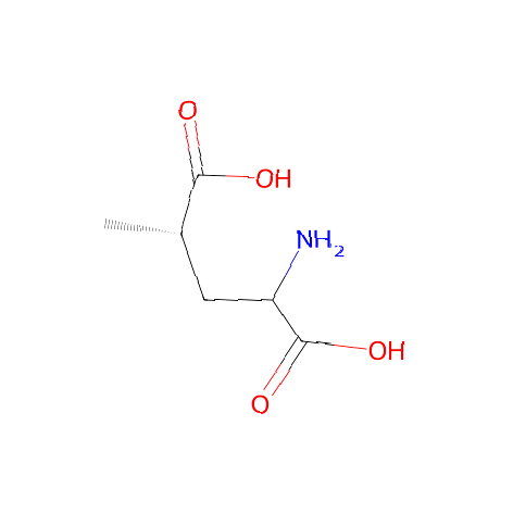 C[C@@H](CC(N)C(=O)O)C(=O)O